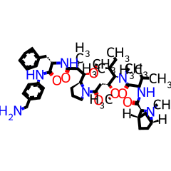 CC[C@H](C)[C@@H]([C@@H](CC(=O)N1CCC[C@H]1[C@H](OC)[C@@H](C)C(=O)N[C@@H](Cc1ccccc1)C(=O)Nc1ccc(CN)cc1)OC)N(C)C(=O)[C@@H](NC(=O)[C@@H]1[C@H]2CC[C@H](C2)N1C)C(C)C